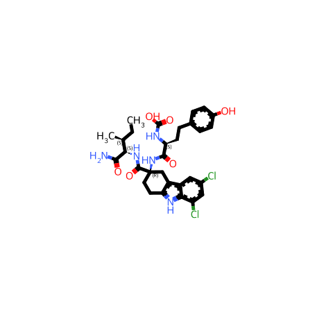 CC[C@H](C)[C@H](NC(=O)[C@@]1(NC(=O)[C@H](CCc2ccc(O)cc2)NC(=O)O)CCc2[nH]c3c(Cl)cc(Cl)cc3c2C1)C(N)=O